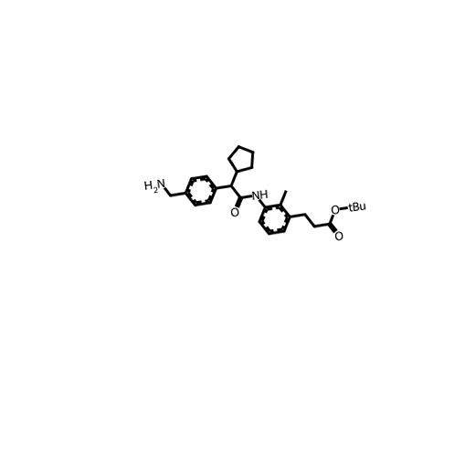 Cc1c(CCC(=O)OC(C)(C)C)cccc1NC(=O)C(c1ccc(CN)cc1)C1CCCC1